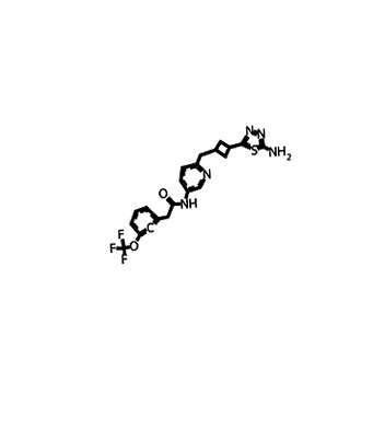 Nc1nnc(C2CC(Cc3ccc(NC(=O)Cc4cccc(OC(F)(F)F)c4)cn3)C2)s1